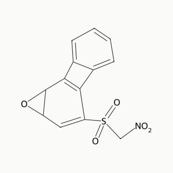 O=[N+]([O-])CS(=O)(=O)C1=CC2OC2C2=C1c1ccccc12